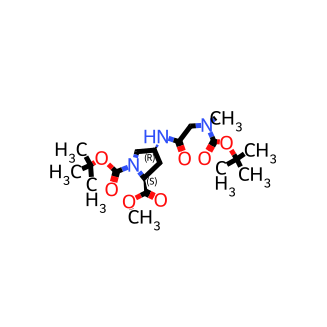 COC(=O)[C@@H]1C[C@@H](NC(=O)CN(C)C(=O)OC(C)(C)C)CN1C(=O)OC(C)(C)C